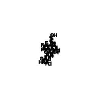 O=c1[nH]cc(Cl)cc1Cn1c(=O)nc(Nc2cc3cn(CCCO)nc3cc2Cl)n(Cc2cc(F)c(F)c(F)c2)c1=O